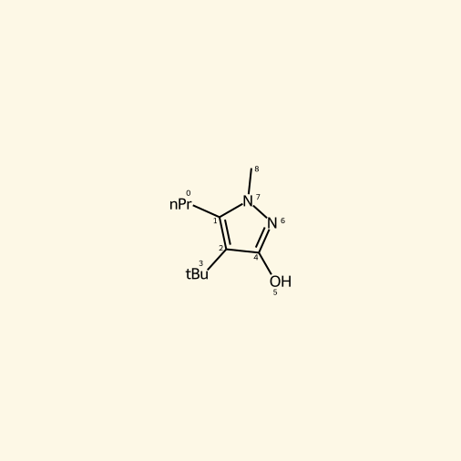 CCCc1c(C(C)(C)C)c(O)nn1C